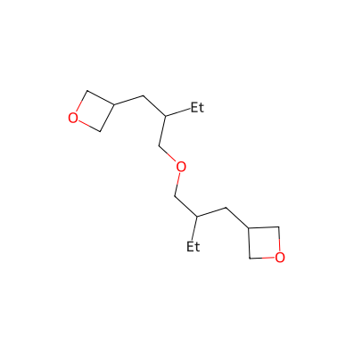 CCC(COCC(CC)CC1COC1)CC1COC1